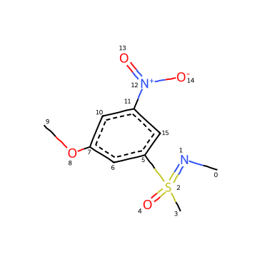 CN=S(C)(=O)c1cc(OC)cc([N+](=O)[O-])c1